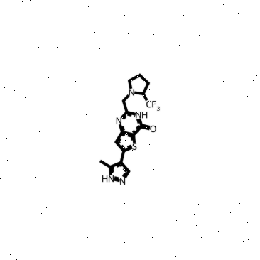 Cc1[nH]ncc1-c1cc2nc(CN3CCCC3C(F)(F)F)[nH]c(=O)c2s1